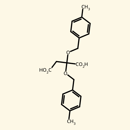 Cc1ccc(COC(CC(=O)O)(OCc2ccc(C)cc2)C(=O)O)cc1